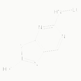 CCNc1ncc2nc(C)sc2n1